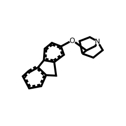 c1ccc2c(c1)Cc1cc(OC3CN4CCC3CC4)ccc1-2